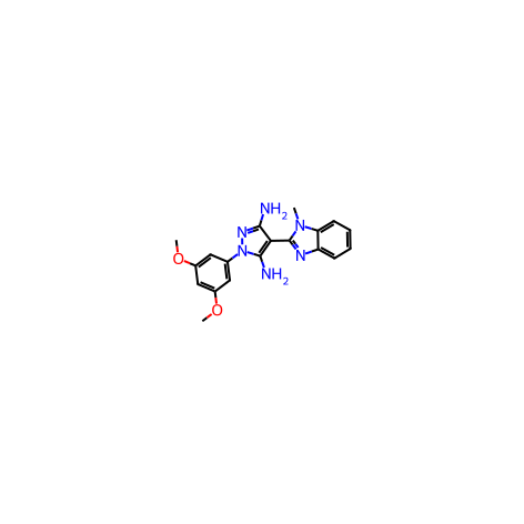 COc1cc(OC)cc(-n2nc(N)c(-c3nc4ccccc4n3C)c2N)c1